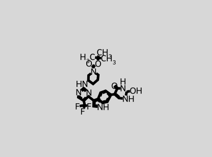 CC(C)(C)OC(=O)N1CCC[C@H](Nc2ncc(C(F)(F)F)c(-c3c[nH]c4cc(C5=CNC(O)NC5=O)ccc34)n2)C1